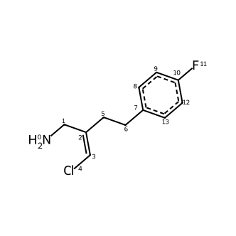 NCC(=CCl)CCc1ccc(F)cc1